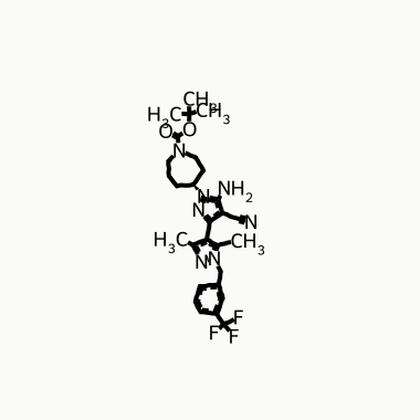 Cc1nn(Cc2cccc(C(F)(F)F)c2)c(C)c1-c1nn([C@H]2CCCN(C(=O)OC(C)(C)C)CC2)c(N)c1C#N